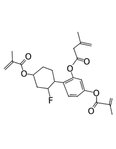 C=C(C)CC(=O)Oc1cc(OC(=O)C(=C)C)ccc1C1CCC(OC(=O)C(=C)C)CC1F